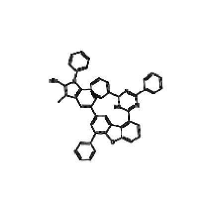 CCCCc1c(C)c2cc(-c3cc(-c4ccccc4)c4oc5cccc(C6=NC(c7ccccc7)=NC(c7ccccc7)N6)c5c4c3)ccc2n1-c1ccccc1